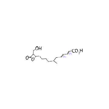 CC(C/C=C/C=C/C(=O)O)CCCCC1OC(=O)C1CO